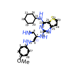 COc1ccc(N/C=C(\C=N)Nc2nc(NC3CCCCC3)c3sccc3n2)cc1